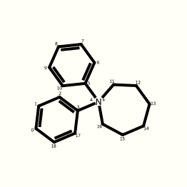 c1ccc([N+]2(c3ccccc3)CCCCCC2)cc1